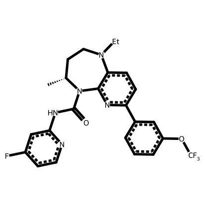 CCN1CC[C@@H](C)N(C(=O)Nc2cc(F)ccn2)c2nc(-c3cccc(OC(F)(F)F)c3)ccc21